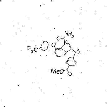 COC(=O)c1ccc(C2(c3cn(C(N)=O)c4c(Oc5ccc(C(F)(F)F)cc5)cccc34)CC2)cc1